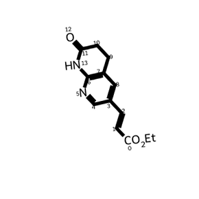 CCOC(=O)C=Cc1cnc2c(c1)CCC(=O)N2